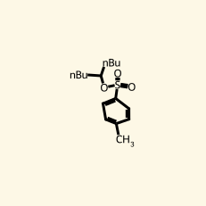 CCCCC(CCCC)OS(=O)(=O)c1ccc(C)cc1